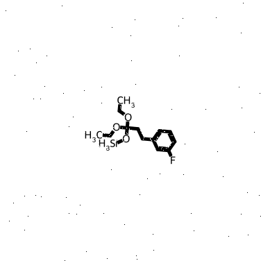 CCOC(CCc1cccc(F)c1)(O[SiH3])OCC